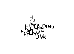 COC(=O)c1cc(F)c(OC(F)F)c(N[C@@H](C)C2CCN(C(=O)OC(C)(C)C)CC2)c1